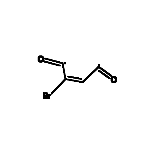 O=[C]/C=C(/Br)[C]=O